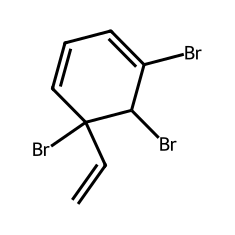 C=CC1(Br)C=CC=C(Br)C1Br